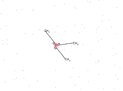 CCCCCCCCCCCCCCCc1cccc(OP(Oc2cccc(CCCCCCCCCCCCCCC)c2)Oc2cccc(CCCCCCCCCCCCCCC)c2)c1